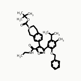 CCNC(=O)c1onc(-c2cc(C(C)C)c(C)cc2OCc2ccccc2)c1-c1ccc2c(c1)CCN(C(=O)OC(C)(C)C)CC2